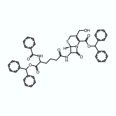 O=C(CCCC(NC(=O)c1ccccc1)C(=O)OC(c1ccccc1)c1ccccc1)NC1C(=O)N2C(C(=O)OC(c3ccccc3)c3ccccc3)=C(CO)CS[C@@H]12